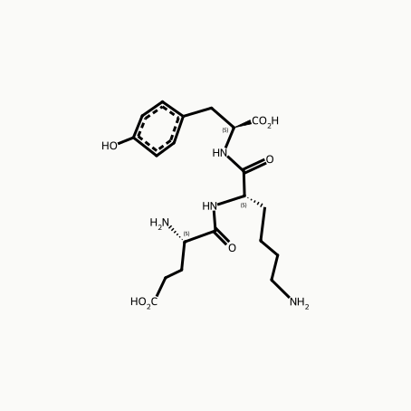 NCCCC[C@H](NC(=O)[C@@H](N)CCC(=O)O)C(=O)N[C@@H](Cc1ccc(O)cc1)C(=O)O